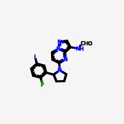 O=CNc1cnn2ccc(N3CCCC3c3cc(I)ccc3F)nc12